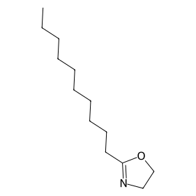 CCCCCCCCCCC1=NCCO1